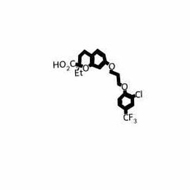 CC[C@]1(C(=O)O)CCc2ccc(OCCCOc3ccc(C(F)(F)F)cc3Cl)cc2O1